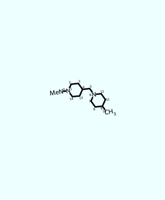 CNN1CCC(CN2CCC(C)CC2)CC1